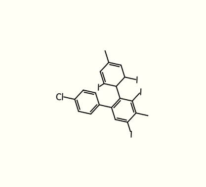 CC1=CC(I)C(c2c(-c3ccc(Cl)cc3)cc(I)c(C)c2I)C(I)=C1